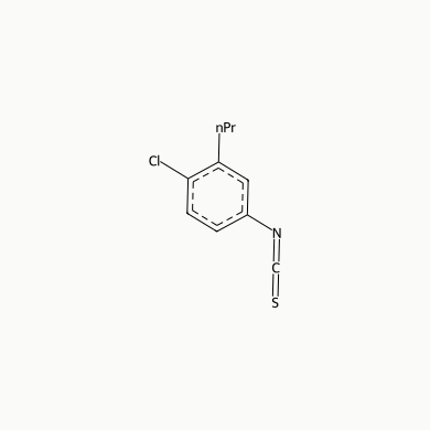 CCCc1cc(N=C=S)ccc1Cl